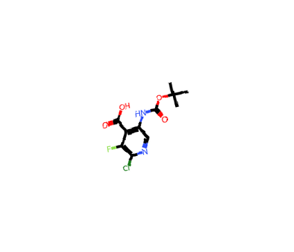 CC(C)(C)OC(=O)Nc1cnc(Cl)c(F)c1C(=O)O